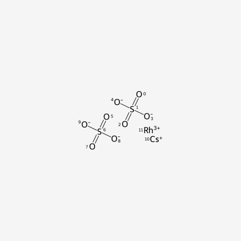 O=S(=O)([O-])[O-].O=S(=O)([O-])[O-].[Cs+].[Rh+3]